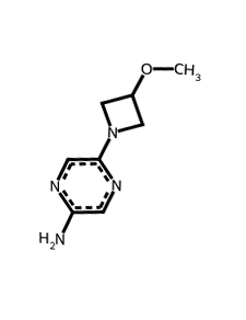 COC1CN(c2cnc(N)cn2)C1